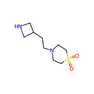 O=S1(=O)CCN(CCC2CNC2)CC1